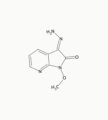 CON1C(=O)/C(=N/N)c2cccnc21